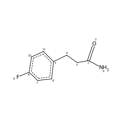 NC(=O)CCc1ccc(F)cc1